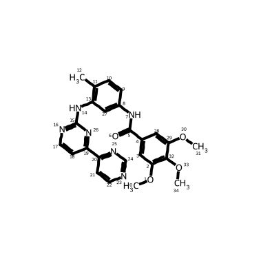 COc1cc(C(=O)Nc2ccc(C)c(Nc3nccc(-c4ccncn4)n3)c2)cc(OC)c1OC